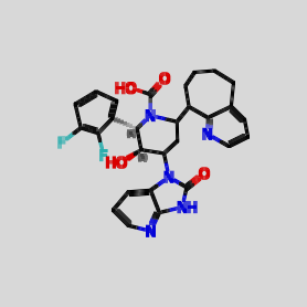 O=C(O)N1C(C2CCCCc3cccnc32)CC(n2c(=O)[nH]c3ncccc32)[C@@H](O)[C@@H]1c1cccc(F)c1F